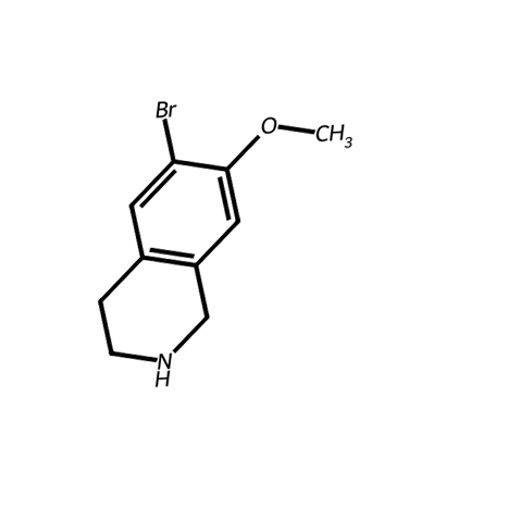 COc1cc2c(cc1Br)CCNC2